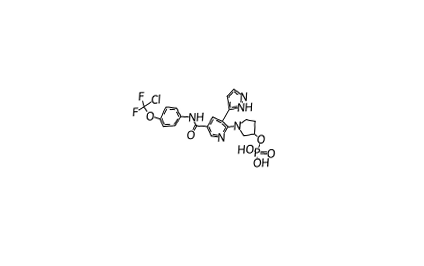 O=C(Nc1ccc(OC(F)(F)Cl)cc1)c1cnc(N2CCC(OP(=O)(O)O)C2)c(-c2ccn[nH]2)c1